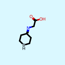 O=C(O)CN=C1CCBCC1